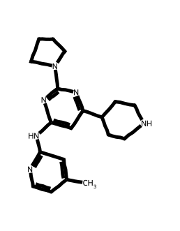 Cc1ccnc(Nc2cc(C3CCNCC3)nc(N3CCCC3)n2)c1